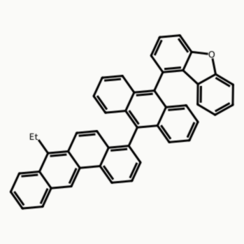 CCc1c2ccccc2cc2c1ccc1c(-c3c4ccccc4c(-c4cccc5oc6ccccc6c45)c4ccccc34)cccc12